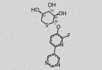 O[C@@H]1[C@@H](O)[C@H](Oc2ccc(-c3cncnc3)nc2F)SC[C@H]1O